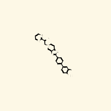 Cc1ccc(-c2ccc(-c3nc4ccn(CC(=O)c5ncccn5)cc-4n3)cc2)cc1C